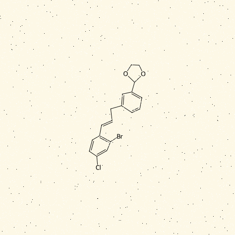 Clc1ccc(C=CCc2cccc(C3OCCO3)c2)c(Br)c1